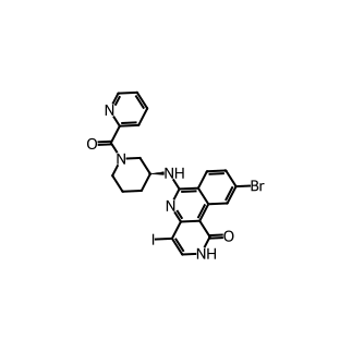 O=C(c1ccccn1)N1CCC[C@H](Nc2nc3c(I)c[nH]c(=O)c3c3cc(Br)ccc23)C1